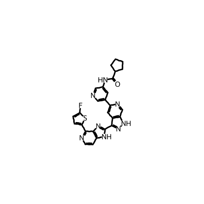 O=C(Nc1cncc(-c2cc3c(-c4nc5c(-c6ccc(F)s6)nccc5[nH]4)n[nH]c3cn2)c1)C1CCCC1